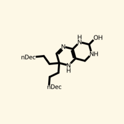 CCCCCCCCCCCCC1(CCCCCCCCCCCC)C=NC2=C(CNC(O)N2)N1